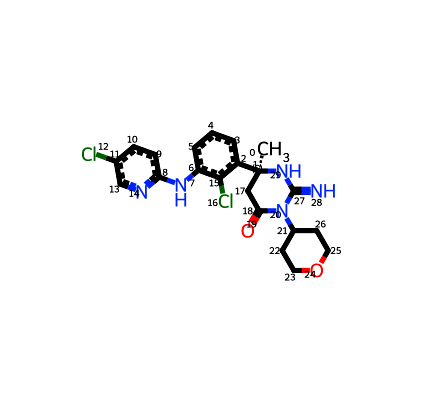 C[C@@]1(c2cccc(Nc3ccc(Cl)cn3)c2Cl)CC(=O)N(C2CCOCC2)C(=N)N1